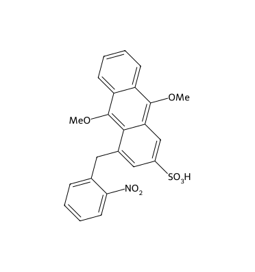 COc1c2ccccc2c(OC)c2c(Cc3ccccc3[N+](=O)[O-])cc(S(=O)(=O)O)cc12